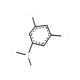 CC(=O)N(C)c1cc(O)cc(O)c1